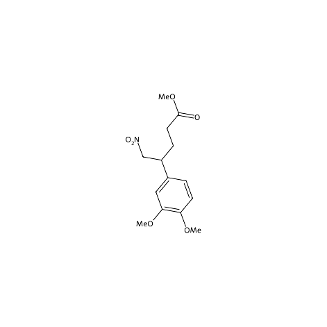 COC(=O)CCC(C[N+](=O)[O-])c1ccc(OC)c(OC)c1